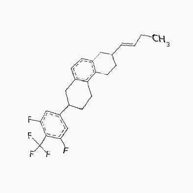 CC/C=C/C1CCc2c(ccc3c2CCC(c2cc(F)c(C(F)(F)F)c(F)c2)C3)C1